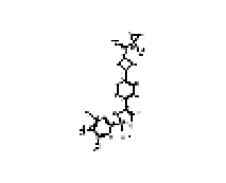 O=C(N1CC(c2ccc(C3=NOC(c4cc(Cl)c(Cl)c(Cl)c4)(C(F)(F)F)C3)cc2)C1)C1(O)CC1